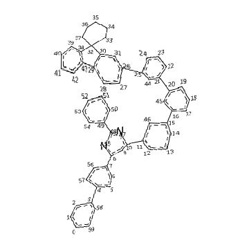 c1ccc(-c2ccc(-c3cc(-c4cccc(-c5cccc(-c6cccc(-c7ccc8c(c7)C7(CCCCC7)c7ccccc7-8)c6)c5)c4)nc(-c4ccccc4)n3)cc2)cc1